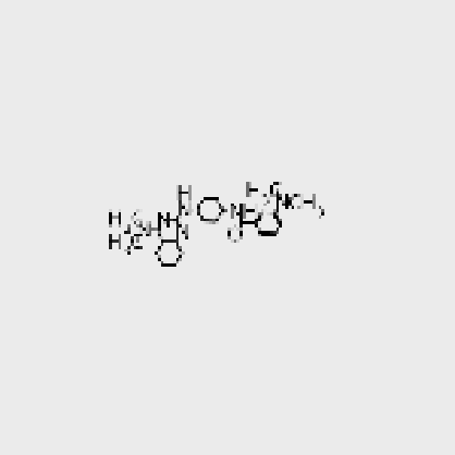 CN(C)c1cccc(C(=O)N[C@H]2CC[C@@H](Nc3nc4c(c(N(C)C)n3)CCCC4)CC2)c1